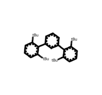 CC(C)(C)c1cccc(C(C)(C)C)c1-c1[c]c(-c2c(C(C)(C)C)cccc2C(C)(C)C)ccc1